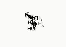 CCOc1nn(-c2ccc(C(F)(F)F)cn2)cc1CCCOc1ccc(CCC(=O)O)c(OC(C)C)c1